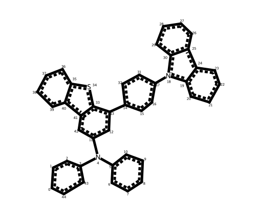 c1ccc(N(c2ccccc2)c2cc(-c3ccc(-n4c5ccccc5c5ccccc54)cc3)c3sc4ccccc4c3c2)cc1